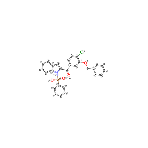 O=C(c1ccc(Cl)c(OCc2ccccc2)c1)c1cc2ccccc2n1S(=O)(=O)c1ccccc1